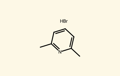 Br.Cc1cccc(C)n1